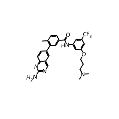 Cc1ccc(C(=O)Nc2cc(OCCCN(C)C)cc(C(F)(F)F)c2)cc1-c1ccc2nc(N)ncc2c1